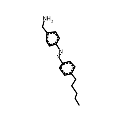 CCCCCc1ccc(N=Nc2ccc(CN)cc2)cc1